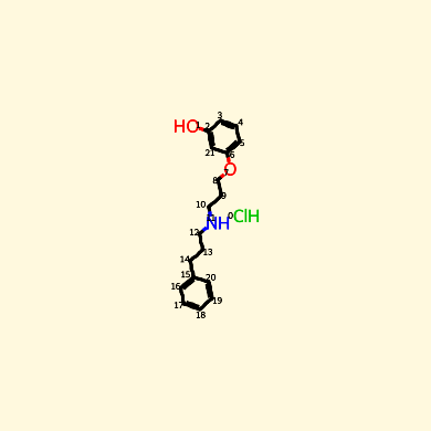 Cl.Oc1cccc(OCCCNCCCc2ccccc2)c1